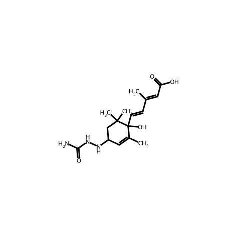 CC1=CC(NNC(N)=O)CC(C)(C)C1(O)/C=C/C(C)=C/C(=O)O